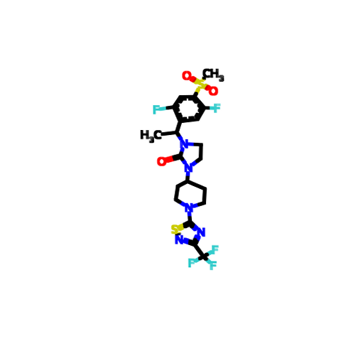 CC(c1cc(F)c(S(C)(=O)=O)cc1F)N1CCN(C2CCN(c3nc(C(F)(F)F)ns3)CC2)C1=O